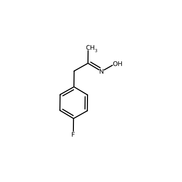 CC(Cc1ccc(F)cc1)=NO